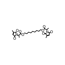 CC1=CC(=O)N(C(C)C(=O)OCCCCCCCCCOC(=O)C(C)N2C(=O)C=C(C)C2=O)C1=O